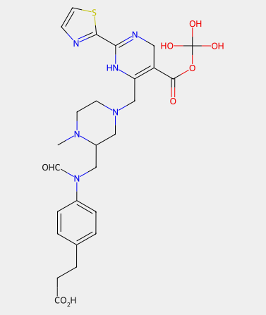 CN1CCN(CC2=C(C(=O)OC(O)(O)O)CN=C(c3nccs3)N2)CC1CN(C=O)c1ccc(CCC(=O)O)cc1